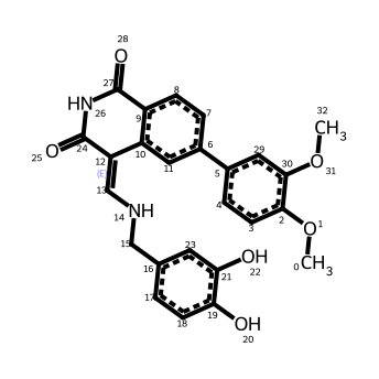 COc1ccc(-c2ccc3c(c2)/C(=C\NCc2ccc(O)c(O)c2)C(=O)NC3=O)cc1OC